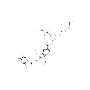 CCn1c(CNC(=O)c2nc(Cl)c(N)nc2N)[n+](CC)c2ccc(C(=O)NCCN(CC(O)C(O)C(O)C(O)CO)CC(O)C(O)C(O)C(O)CO)cc21